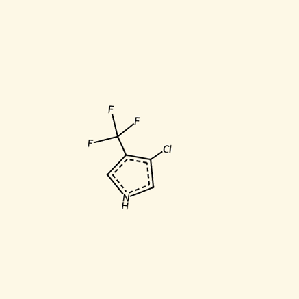 FC(F)(F)c1c[nH]cc1Cl